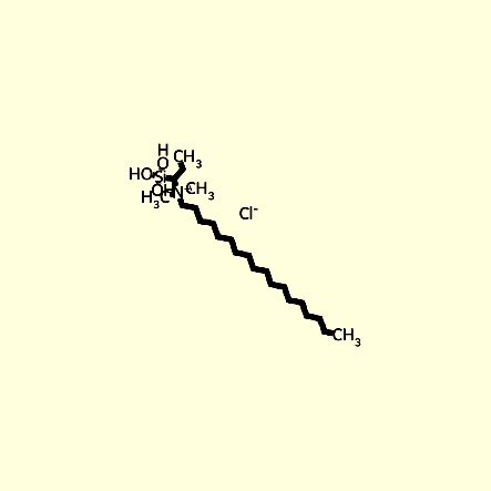 CCCCCCCCCCCCCCCCCC[N+](C)(C)C(CC)[Si](O)(O)O.[Cl-]